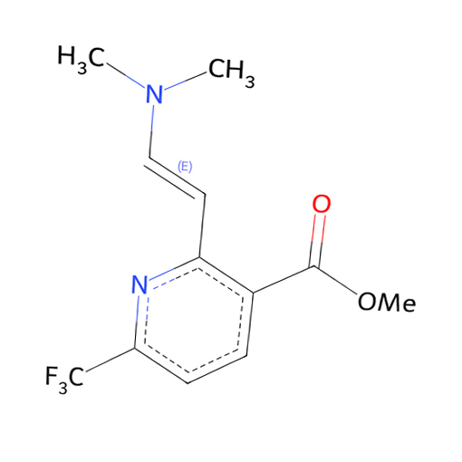 COC(=O)c1ccc(C(F)(F)F)nc1/C=C/N(C)C